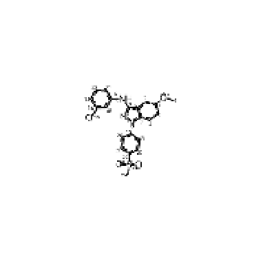 COc1ccc2c(c1)c(Nc1cccc(Cl)c1)nn2-c1ccc(S(C)(=O)=O)cc1